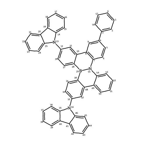 c1ccc(-c2ccc3c(c2)-c2cc(-n4c5ccccc5c5ccccc54)ccc2B2c4ccc(-n5c6ccccc6c6ccccc65)cc4-c4ccccc4N23)cc1